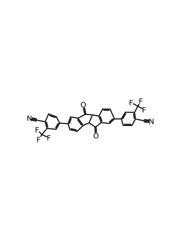 N#Cc1ccc(-c2ccc3c(c2)C(=O)C2c4ccc(-c5ccc(C#N)c(C(F)(F)F)c5)cc4C(=O)C32)cc1C(F)(F)F